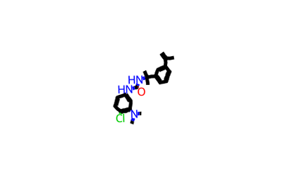 C=C(C)c1cccc(C(C)(C)NC(=O)Nc2ccc(Cl)c(N(C)C)c2)c1